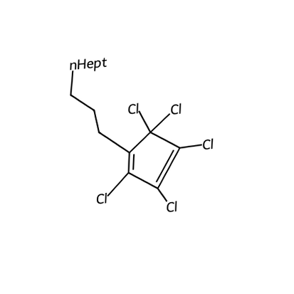 CCCCCCCCCCC1=C(Cl)C(Cl)=C(Cl)C1(Cl)Cl